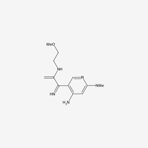 C=C(NCCOC)C(=N)c1cnc(NC)cc1N